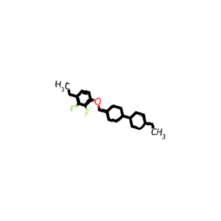 CCc1ccc(OCC2CCC(C3CCC(CC)CC3)CC2)c(F)c1F